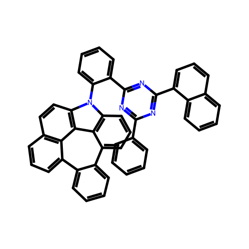 c1ccc(-c2nc(-c3ccccc3-n3c4cccc5c4c4c6c(cccc6ccc43)-c3ccccc3-5)nc(-c3cccc4ccccc34)n2)cc1